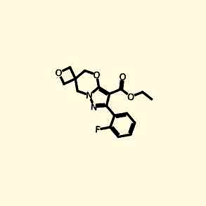 CCOC(=O)c1c(-c2ccccc2F)nn2c1OCC1(COC1)C2